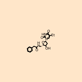 CCc1cn([C@@H]2CC(O)[C@H](CNC(=O)Cc3ccccc3)O2)c(=O)[nH]c1=O